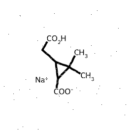 CC1(C)C(CC(=O)O)C1C(=O)[O-].[Na+]